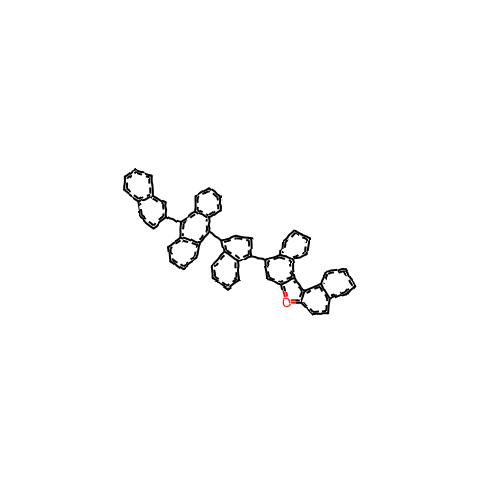 c1ccc2cc(-c3c4ccccc4c(-c4ccc(-c5cc6oc7ccc8ccccc8c7c6c6ccccc56)c5ccccc45)c4ccccc34)ccc2c1